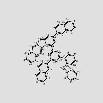 c1ccc2cc(-c3cc(-c4nc(-c5ccc6ccccc6c5)nc(-c5cccc6c5sc5ccccc56)n4)c4c(c3)oc3cc5ccccc5cc34)ccc2c1